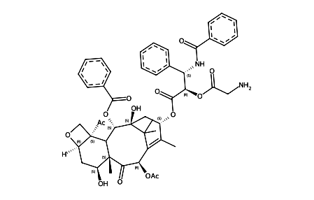 CC(=O)O[C@H]1C(=O)[C@@]2(C)C([C@H](OC(=O)c3ccccc3)[C@]3(O)C[C@H](OC(=O)[C@H](OC(=O)CN)[C@@H](NC(=O)c4ccccc4)c4ccccc4)C(C)=C1C3(C)C)[C@]1(C(C)=O)CO[C@@H]1C[C@@H]2O